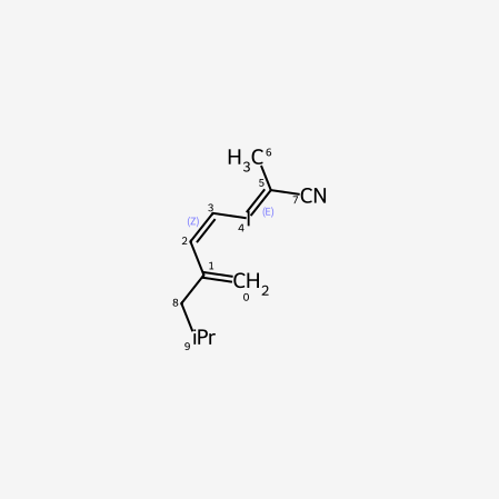 C=C(/C=C\I=C(/C)C#N)CC(C)C